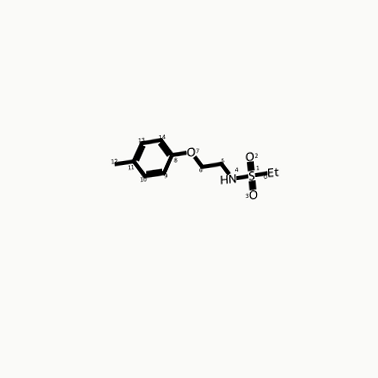 CCS(=O)(=O)NCCOc1ccc(C)cc1